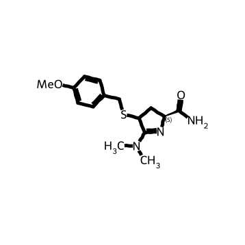 COc1ccc(CSC2C[C@@H](C(N)=O)N=C2N(C)C)cc1